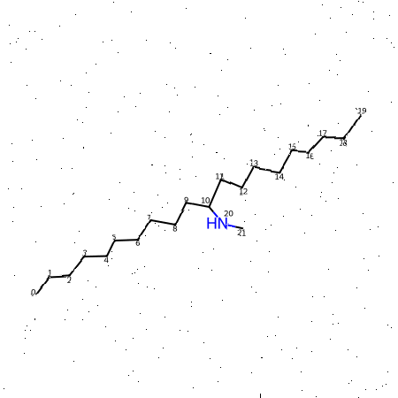 CCCCCCCCCCC(CCCCCCCCC)NC